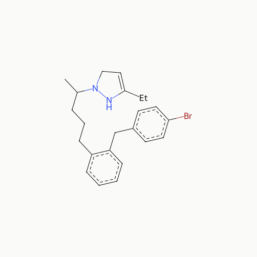 CCC1=CCN(C(C)CCCc2ccccc2Cc2ccc(Br)cc2)N1